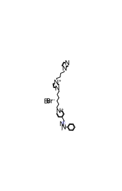 CN(/N=C/c1cc[n+](CCCCCCn2cc[n+](CCCCn3ccnc3)c2)cc1)c1ccccc1.[Br-].[Br-]